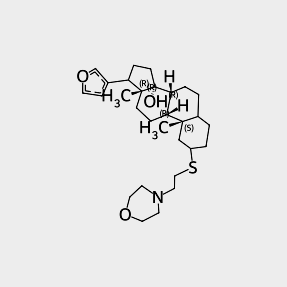 C[C@]12CC(SCCN3CCOCC3)CCC1CC[C@@H]1[C@H]2CC[C@]2(C)C(c3ccoc3)CC[C@@]12O